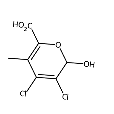 CC1=C(C(=O)O)OC(O)C(Cl)=C1Cl